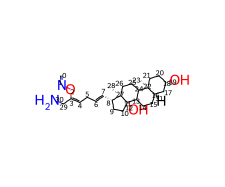 C=NO/C(=C\C/C=C/[C@H]1CC[C@]2(O)C3CC[C@@H]4C[C@@H](O)CC[C@]4(C)C3CC[C@]12C)CN